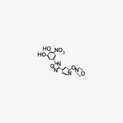 O=[N+]([O-])c1cc(-c2nc(-c3ccnc(ON4CCOCC4)c3)no2)cc(O)c1O